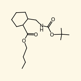 CCCCOC(=O)C1CCCCC1CNC(=O)OC(C)(C)C